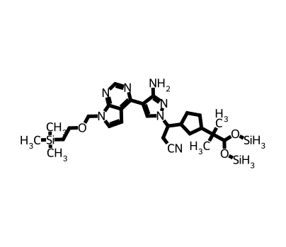 CC(C)(C1CCC(C(CC#N)n2cc(-c3ncnc4c3ccn4COCC[Si](C)(C)C)c(N)n2)C1)C(O[SiH3])O[SiH3]